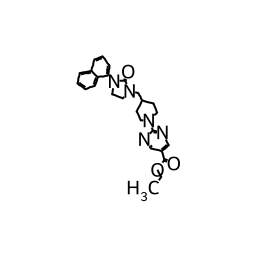 CCOC(=O)c1cnc(N2CCC(CN3CCN(c4cccc5ccccc45)C3=O)CC2)nc1